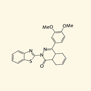 COc1ccc(C2=NN(c3nc4ccccc4s3)C(=O)C3CC=CCC23)cc1OC